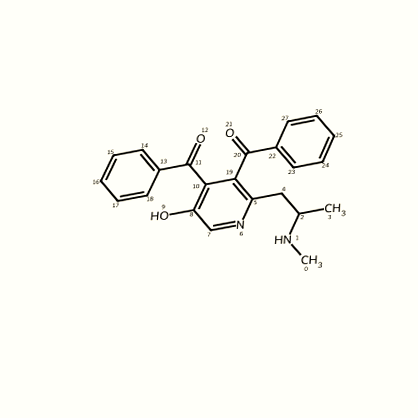 CNC(C)Cc1ncc(O)c(C(=O)c2ccccc2)c1C(=O)c1ccccc1